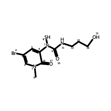 Cn1cc(Br)cc(N(S)C(=O)NCCCO)c1=O